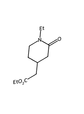 CCOC(=O)CC1CCN(CC)C(=O)C1